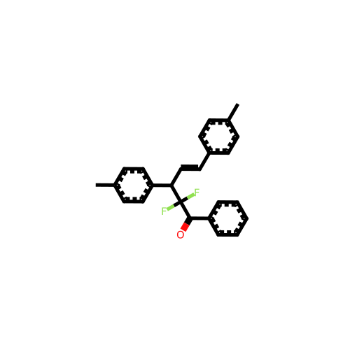 Cc1ccc(C=CC(c2ccc(C)cc2)C(F)(F)C(=O)c2ccccc2)cc1